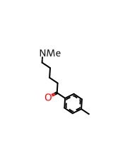 CNCCCCC(=O)c1ccc(C)cc1